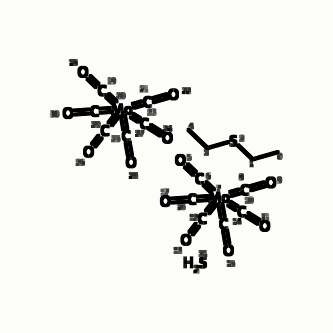 CCSCC.O=[C]=[Mo](=[C]=O)(=[C]=O)(=[C]=O)(=[C]=O)=[C]=O.O=[C]=[Mo](=[C]=O)(=[C]=O)(=[C]=O)(=[C]=O)=[C]=O.S